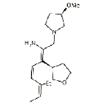 C\C=C(/C=C\C(=C(/N)CN1CC[C@@H](OC)C1)[C@H]1CCOC1)CC